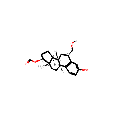 COC[C@@H]1C[C@@H]2[C@H](CC[C@]3(C)[C@@H](OC=O)CC[C@@H]23)c2ccc(O)cc21